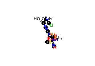 Cc1c(C(=O)O)c(-c2cccc(N3CCN(c4ccc(N(CCOO)Pc5ccc(N[C@H](CCN6CCOCC6)CSc6ccccc6)c(S(=O)(=O)C(F)(F)F)c5)cc4)CC3)c2)c(-c2ccc(Cl)cc2)n1C(C)C